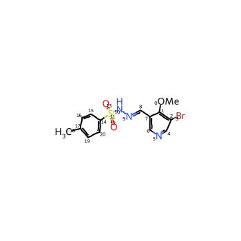 COc1c(Br)cncc1/C=N/NS(=O)(=O)c1ccc(C)cc1